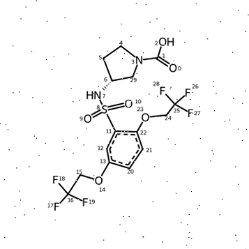 O=C(O)N1CC[C@@H](NS(=O)(=O)c2cc(OCC(F)(F)F)ccc2OCC(F)(F)F)C1